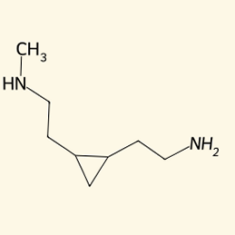 CNCCC1CC1CCN